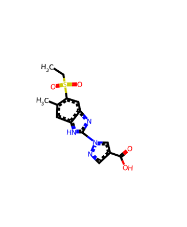 CCS(=O)(=O)c1cc2nc(-n3cc(C(=O)O)cn3)[nH]c2cc1C